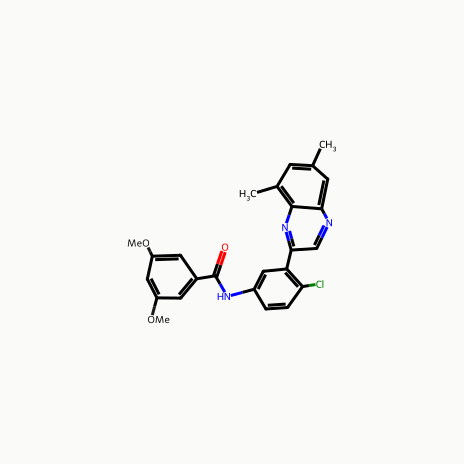 COc1cc(OC)cc(C(=O)Nc2ccc(Cl)c(-c3cnc4cc(C)cc(C)c4n3)c2)c1